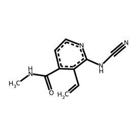 C=Cc1c(C(=O)NC)ccnc1NC#N